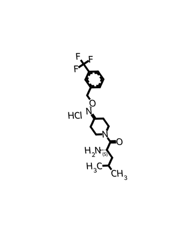 CC(C)C[C@H](N)C(=O)N1CCC(=NOCc2cccc(C(F)(F)F)c2)CC1.Cl